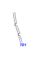 [CH]=C=C=N